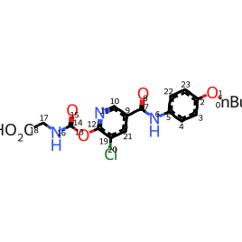 CCCCOc1ccc(NC(=O)c2cnc(OC(=O)NCC(=O)O)c(Cl)c2)cc1